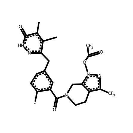 Cc1c(Cc2ccc(F)c(C(=O)N3CCc4c(C(F)(F)F)nn(OC(=O)C(F)(F)F)c4C3)c2)n[nH]c(=O)c1C